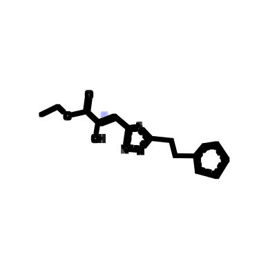 CCOC(=O)/C(O)=C/c1nnc(CCc2ccccc2)s1